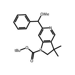 COC(c1ccccc1)c1cc2c(cn1)C(C)(C)CN2C(=O)OC(C)(C)C